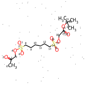 CC(=O)COS(=O)(=O)CCCCCCS(=O)(=O)OCC(=O)OC(C)(C)C